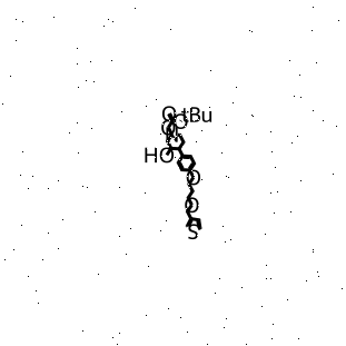 CC(C)(C)OC(=O)ON1CCC(c2ccc(OCCCOCc3ccsc3)cc2)C(O)C1